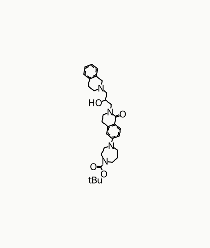 CC(C)(C)OC(=O)N1CCCN(c2ccc3c(c2)CCN(CC(O)CN2CCc4ccccc4C2)C3=O)CC1